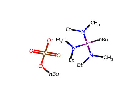 CCCCOS(=O)(=O)[O-].CCCC[P+](N(C)CC)(N(C)CC)N(C)CC